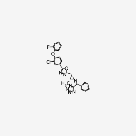 Cn1nnnc1/C(=N\OCc1nnc(-c2ccc(Oc3ccccc3F)c(Cl)c2)o1)c1ccccc1